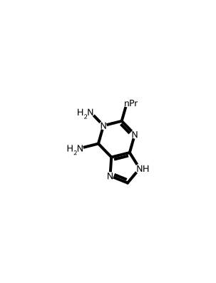 [CH2]CCC1=Nc2[nH]cnc2C(N)N1N